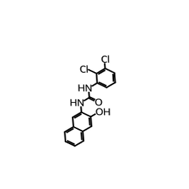 O=C(Nc1cc2ccccc2cc1O)Nc1cccc(Cl)c1Cl